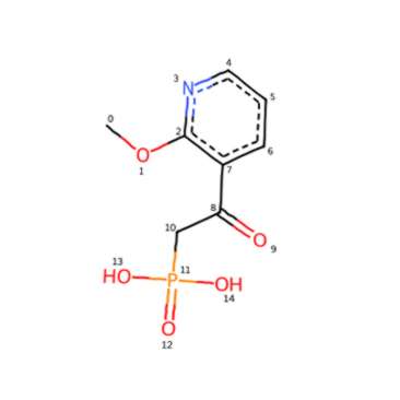 COc1ncccc1C(=O)CP(=O)(O)O